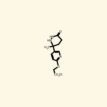 CCOC(=O)COc1ccc(C2(C)CCC(=O)NN2)cn1